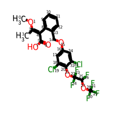 COC(C)=C(C(=O)O)c1ccccc1COc1cc(Cl)c(OC(F)(F)C(F)OC(F)(F)F)c(Cl)c1